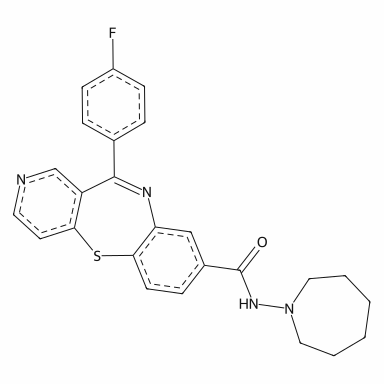 O=C(NN1CCCCCC1)c1ccc2c(c1)N=C(c1ccc(F)cc1)c1cnccc1S2